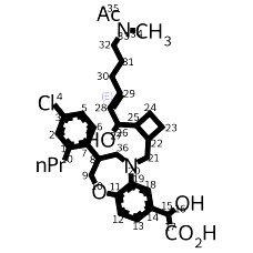 CCCc1cc(Cl)ccc1C1COc2ccc(C(O)C(=O)O)cc2N(CC2CCC2C(O)/C=C/CCCN(C)C(C)=O)C1